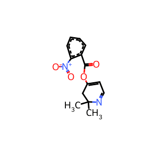 CC1(C)CC(OC(=O)c2ccccc2[N+](=O)[O-])=CC=N1